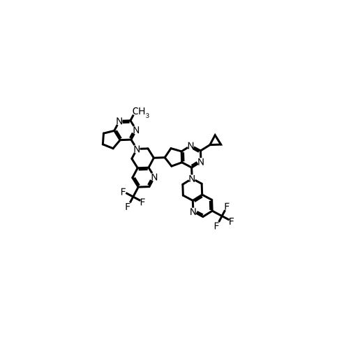 Cc1nc2c(c(N3Cc4cc(C(F)(F)F)cnc4C(C4Cc5nc(C6CC6)nc(N6CCc7ncc(C(F)(F)F)cc7C6)c5C4)C3)n1)CCC2